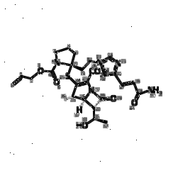 C=CCOC(=O)N1CCC[C@]1(CCn1cnc(C=CC(N)=O)c1)SC1=C(C(=O)O)N2C(=O)[C@H]([C@@H](C)O)[C@H]2[C@@H]1C